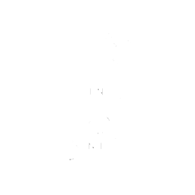 CC1(C)Cc2cc(C(=O)O)ccc2NC1c1ccc(Nc2ccccc2)c(Cl)c1